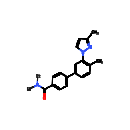 CCN(CC)C(=O)c1ccc(-c2ccc(C)c(-n3ccc(C)n3)c2)cc1